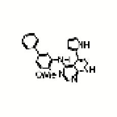 COc1ccc(-c2ccccc2)cc1Nc1ncnc2[nH]nc(-c3ccc[nH]3)c12